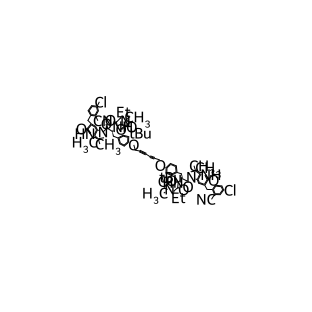 CC[C@@H](C(=O)N[C@@H](Cc1ccc(OCC#CC#CCOc2ccc(C[C@H](NC(=O)[C@H](CC)N(C)C(=O)OC(C)(C)C)C(=O)N3CC(C)(C)c4[nH]c(=O)c(Cc5ccc(Cl)cc5C#N)cc43)cc2)cc1)C(=O)N1CC(C)(C)c2[nH]c(=O)c(Cc3ccc(Cl)cc3C#N)cc21)N(C)C(=O)OC(C)(C)C